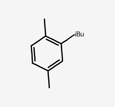 CCC(C)c1cc(C)ccc1C